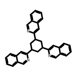 c1ccc2cc(C3CC(c4cc5ccccc5cn4)CC(c4cc5ccccc5cn4)C3)ncc2c1